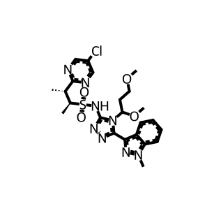 COCCC(OC)n1c(NS(=O)(=O)[C@@H](C)[C@H](C)c2ncc(Cl)cn2)nnc1-c1nn(C)c2ccccc12